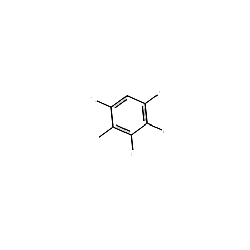 Cc1c(Cl)c(N)cc(Cl)c1Cl